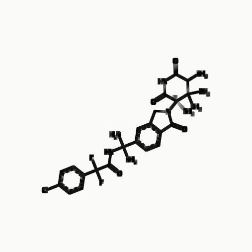 BC1C(=O)NC(=O)[C@](B)(N2Cc3cc(C(B)(B)NC(=O)C(F)(F)c4ccc(Cl)cc4)ccc3C2=O)C1(B)B